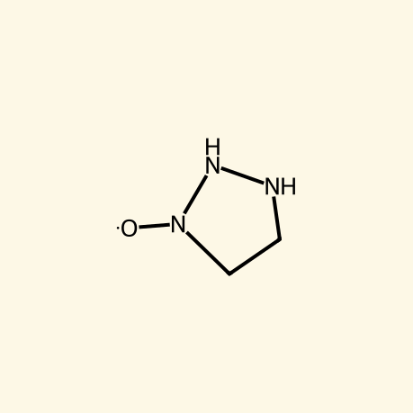 [O]N1CCNN1